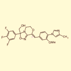 COc1cc(/C=C2\OCCN3C2=NOC3(CO)c2cc(F)c(F)c(F)c2)ccc1-n1cnc(C)c1